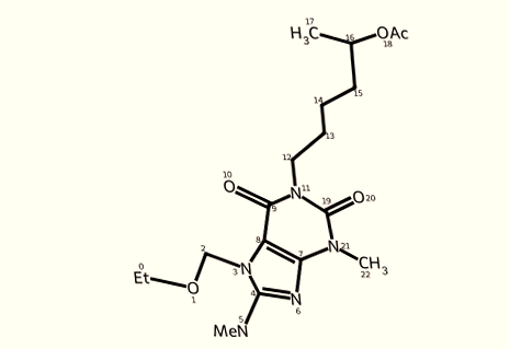 CCOCn1c(NC)nc2c1c(=O)n(CCCCC(C)OC(C)=O)c(=O)n2C